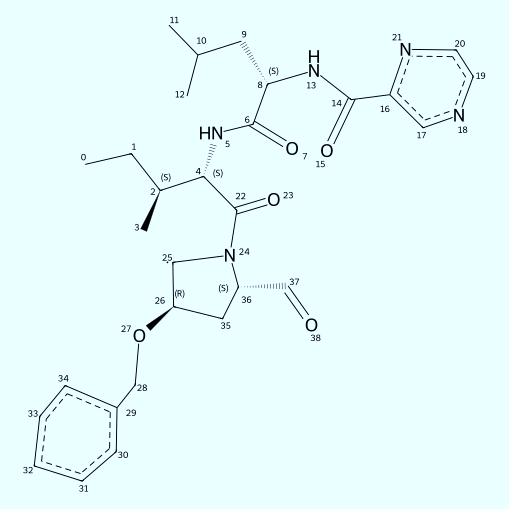 CC[C@H](C)[C@H](NC(=O)[C@H](CC(C)C)NC(=O)c1cnccn1)C(=O)N1[CH][C@H](OCc2ccccc2)C[C@H]1C=O